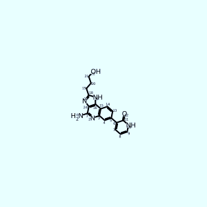 Nc1nc2cc(-c3ccc[nH]c3=O)ccc2c2[nH]c(CCCO)nc12